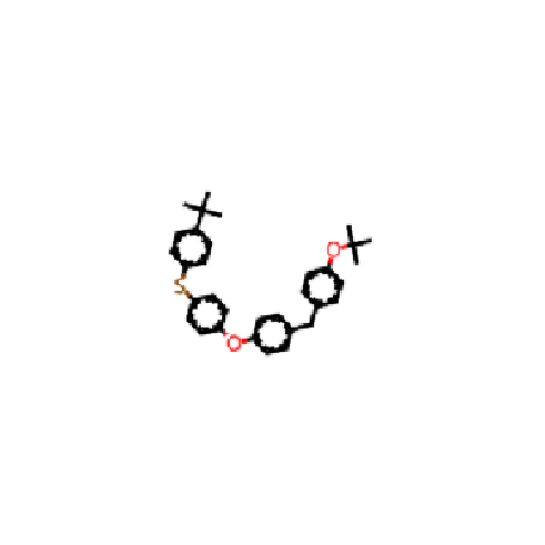 CC(C)(C)Oc1ccc(Cc2ccc(Oc3ccc(Sc4ccc(C(C)(C)C)cc4)cc3)cc2)cc1